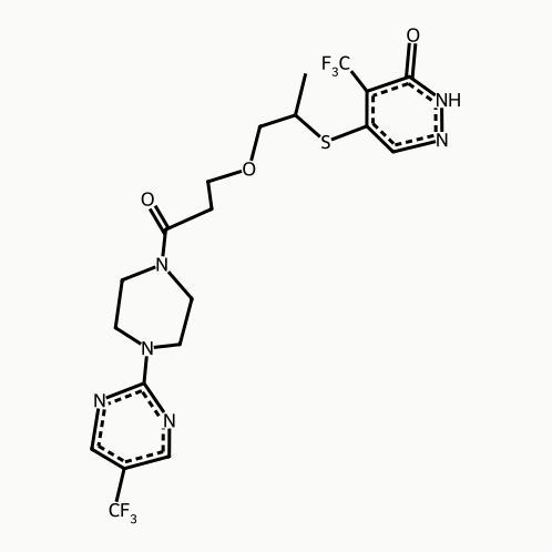 CC(COCCC(=O)N1CCN(c2ncc(C(F)(F)F)cn2)CC1)Sc1cn[nH]c(=O)c1C(F)(F)F